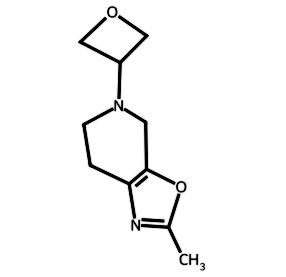 Cc1nc2c(o1)CN(C1COC1)CC2